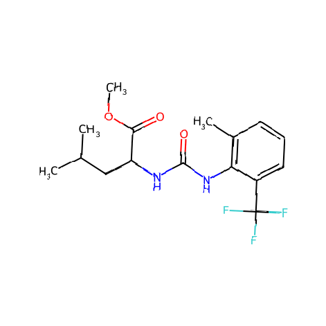 COC(=O)C(CC(C)C)NC(=O)Nc1c(C)cccc1C(F)(F)F